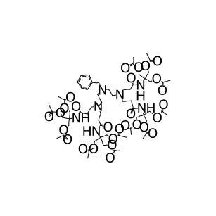 CC(=O)OCC(COC(C)=O)(COC(C)=O)NC(=O)CCN(CCC(=O)NC(COC(C)=O)(COC(C)=O)COC(C)=O)CCN(CCN(CCC(=O)NC(COC(C)=O)(COC(C)=O)COC(C)=O)CCC(=O)NC(COC(C)=O)(COC(C)=O)COC(C)=O)Cc1ccccc1